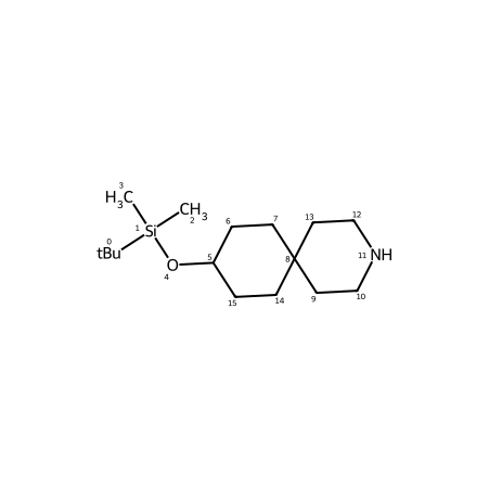 CC(C)(C)[Si](C)(C)OC1CCC2(CCNCC2)CC1